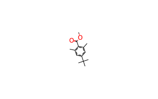 COC(=O)c1c(C)cc(C(C)(C)C)cc1C